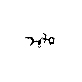 CCC(C)C(=O)OC(C)(CC)C1CCCC1